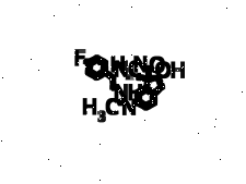 CC(=Nc1ccc2c(c1)C(CC#N)(C(N)=O)C(O)C2)NCCc1ccc(F)cc1